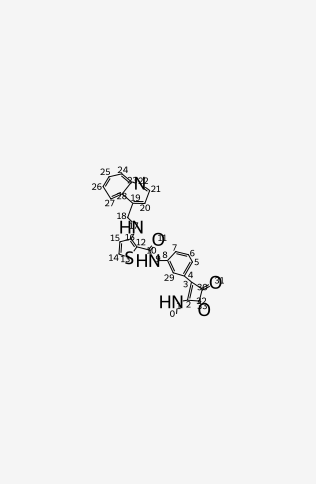 CNc1c(-c2cccc(NC(=O)c3sccc3NCc3ccnc4ccccc34)c2)c(=O)c1=O